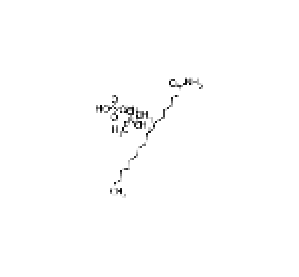 CCCCCCCCCCCCCCCCCC(N)=O.CC[N+](C)(C)C.O=S(=O)(O)O